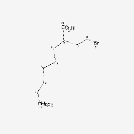 CCCCCCCCCCCCC(CCBr)C(=O)O